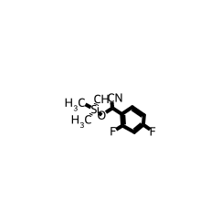 C[Si](C)(C)OC(C#N)c1ccc(F)cc1F